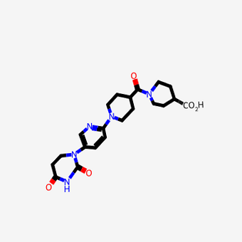 O=C1CCN(c2ccc(N3CCC(C(=O)N4CCC(C(=O)O)CC4)CC3)nc2)C(=O)N1